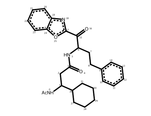 CC(=O)NC(CC(=O)NC(CCc1ccccc1)C(=O)c1nc2ccccc2o1)C1CCCCC1